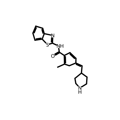 CC1=C(C(=O)Nc2nc3ccccc3s2)C=CC(=CC2CCNCC2)C1